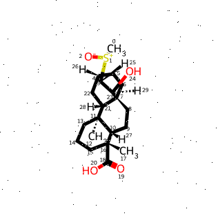 C[S+]([O-])[C@H]1[C@H]2CC[C@@]3(CC[C@H]4[C@@](C)(CCC[C@@]4(C)C(=O)O)[C@@H]3C2)[C@@H]1O